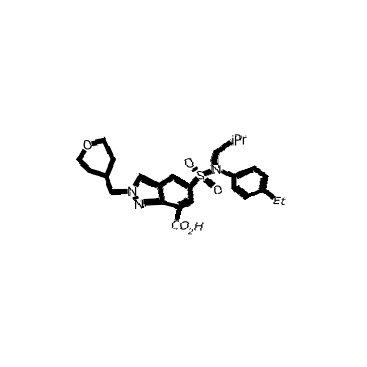 CCc1ccc(N(CC(C)C)S(=O)(=O)c2cc(C(=O)O)c3nn(CC4CCOCC4)cc3c2)cc1